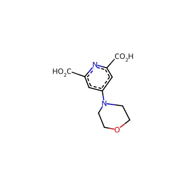 O=C(O)c1cc(N2CCOCC2)cc(C(=O)O)n1